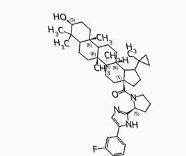 CC1(C2CC[C@]3(C(=O)N4CCC[C@H]4c4ncc(-c5cccc(F)c5)[nH]4)CC[C@]4(C)[C@H](CCC5[C@@]6(C)CC[C@H](O)C(C)(C)C6CC[C@]54C)C23)CC1